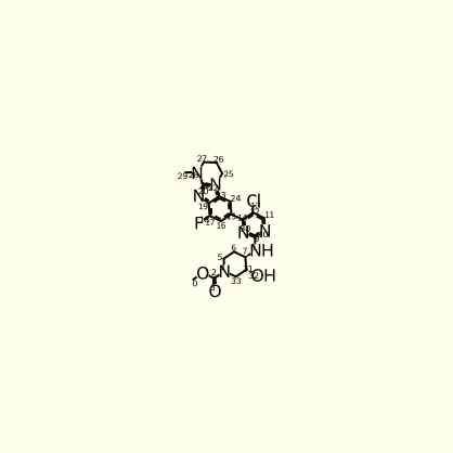 COC(=O)N1CC[C@@H](Nc2ncc(Cl)c(-c3cc(F)c4nc5n(c4c3)CCCN5C)n2)[C@H](O)C1